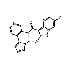 Cn1cncc1-c1cnncc1NC(=O)c1c(N)nn2cc(F)cnc12